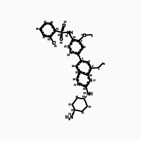 CCc1cc(-c2cc(OC)c(NS(=O)(=O)c3ccccc3Cl)nn2)cc2cnc(N[C@H]3CC[C@H](N)CC3)nc12